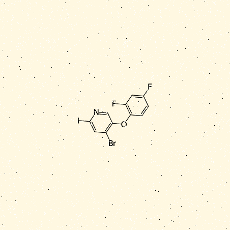 Fc1ccc(Oc2cnc(I)cc2Br)c(F)c1